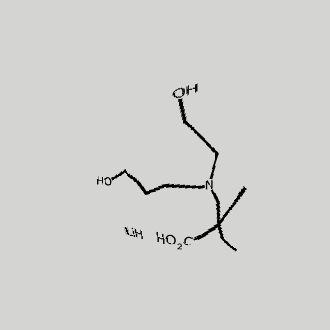 CC(C)(C(=O)O)N(CCO)CCO.[LiH]